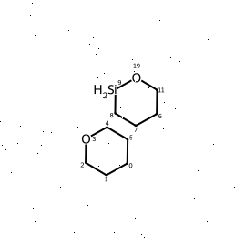 C1CCOCC1.C1CC[SiH2]OC1